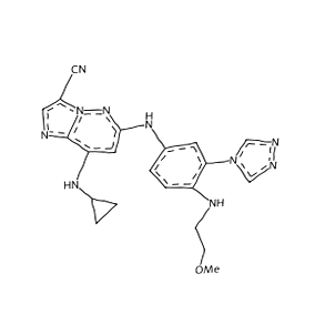 COCCNc1ccc(Nc2cc(NC3CC3)c3ncc(C#N)n3n2)cc1-n1cnnc1